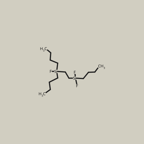 CCCC[Si](F)(F)CC[Si](F)(CCCC)CCCC